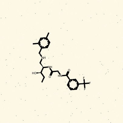 CC[C@@H](O)[C@@H](CNCc1ccc(C)cc1C)NC(=O)CNC(=O)c1cccc(C(F)(F)F)c1